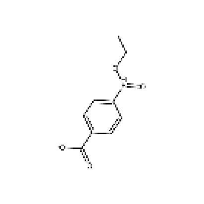 CCO[PH](=O)c1ccc(C([O])=O)cc1